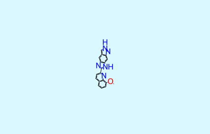 COc1cccc2ccc(-c3nc4cc5c[nH]nc5cc4[nH]3)nc12